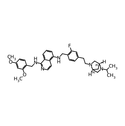 COc1ccc(CNc2nccc3c(NCc4ccc(CCN5C[C@H]6C[C@@H]5CN6C(C)C)cc4F)cccc23)c(OC)c1